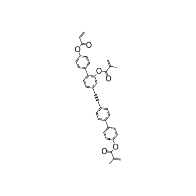 C=CC(=O)Oc1ccc(-c2ccc(C#Cc3ccc(-c4ccc(OC(=O)C(=C)C)cc4)cc3)cc2OC(=O)C(=C)C)cc1